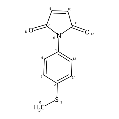 CSc1ccc(N2C(=O)C=CC2=O)cc1